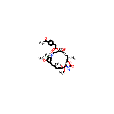 COc1cc2cc(c1Cl)N(C)C(=O)C[C@H](OC(=O)Cc1ccc(C(C)=O)cc1)[C@](C)(O)CCC[C@H](C)[C@@H]1C[C@@](O)(NC(=O)O1)[C@H](OC)/C=C/C=C(\C)C2